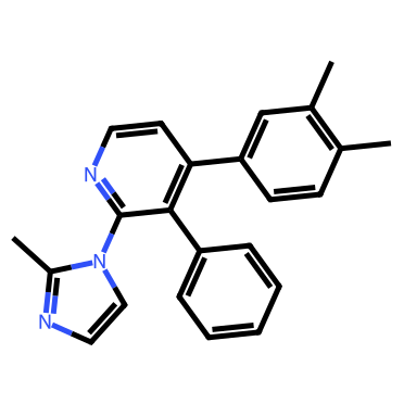 Cc1ccc(-c2ccnc(-n3ccnc3C)c2-c2ccccc2)cc1C